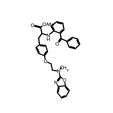 COC(=O)C(Cc1ccc(OCCN(C)c2nc3ccccc3o2)cc1)Nc1ccccc1C(=O)c1ccccc1